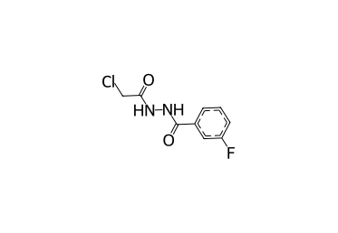 O=C(CCl)NNC(=O)c1cccc(F)c1